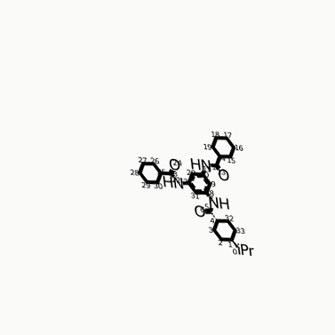 CC(C)[C@H]1CC[C@H](C(=O)Nc2cc(NC(=O)C3CCCCC3)cc(NC(=O)C3CCCCC3)c2)CC1